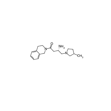 CC1CCN(C[C@@H](N)CC(=O)N2CCc3ccccc3C2)C1